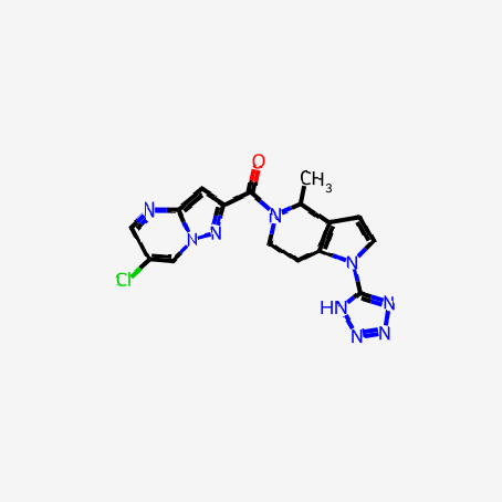 CC1c2ccn(-c3nnn[nH]3)c2CCN1C(=O)c1cc2ncc(Cl)cn2n1